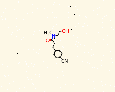 CN(CCO)C(=O)CCc1ccc(C#N)cc1